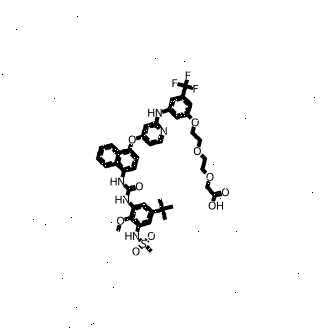 COc1c(NC(=O)Nc2ccc(Oc3ccnc(Nc4cc(OCCOCCOCC(=O)O)cc(C(F)(F)F)c4)c3)c3ccccc23)cc(C(C)(C)C)cc1NS(C)(=O)=O